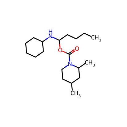 CCCCC(NC1CCCCC1)OC(=O)N1CCC(C)CC1C